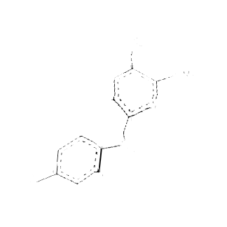 COc1nc(Oc2ccc(Cl)cc2)ccc1C(C)C